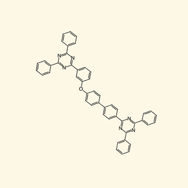 c1ccc(-c2nc(-c3ccccc3)nc(-c3ccc(-c4ccc(Oc5cccc(-c6nc(-c7ccccc7)nc(-c7ccccc7)n6)c5)cc4)cc3)n2)cc1